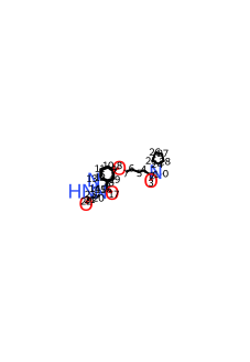 CN(C(=O)CCCCOc1ccc2nc3n(c(=O)c2c1)CC(=O)N3)C1CCCC1